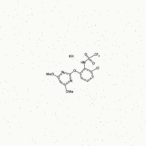 COc1cc(OC)nc(Oc2cccc(Cl)c2NS(=O)(=O)C(F)(F)F)n1.[KH]